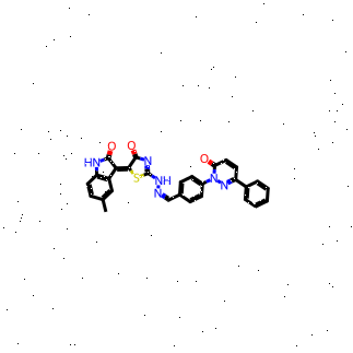 Cc1ccc2c(c1)/C(=C1\SC(N/N=C\c3ccc(-n4nc(-c5ccccc5)ccc4=O)cc3)=NC1=O)C(=O)N2